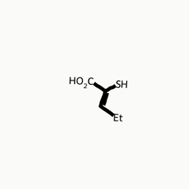 CCC=C(S)C(=O)O